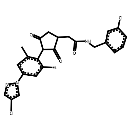 CCc1cc(-n2cc(Cl)cn2)cc(C)c1C1C(=O)CC(CC(=O)NCc2cccc(Cl)c2)C1=O